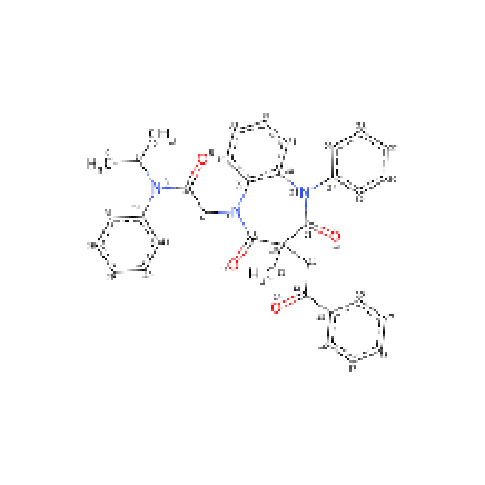 CC(C)N(C(=O)CN1C(=O)C(C)(CC(=O)c2ccccc2)C(=O)N(c2ccccc2)c2ccccc21)c1ccccc1